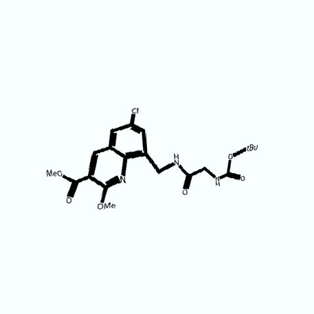 COC(=O)c1cc2cc(Cl)cc(CNC(=O)CNC(=O)OC(C)(C)C)c2nc1OC